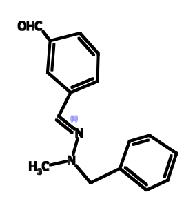 CN(Cc1ccccc1)/N=C/c1cccc(C=O)c1